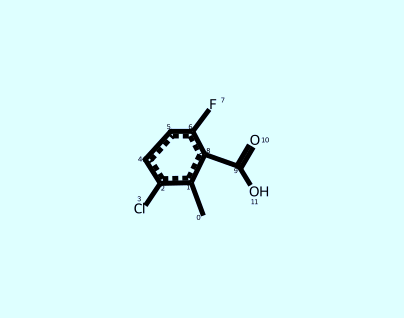 Cc1c(Cl)ccc(F)c1C(=O)O